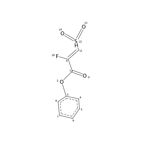 O=C(Oc1ccccc1)C(F)=C[SH](=O)=O